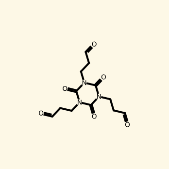 O=CCCn1c(=O)n(CCC=O)c(=O)n(CCC=O)c1=O